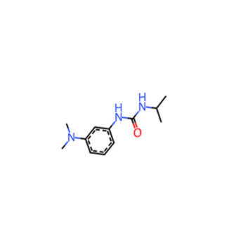 CC(C)NC(=O)Nc1cccc(N(C)C)c1